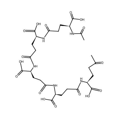 CC(=O)CC[C@H](NC(=O)CC[C@H](NC(=O)CC[C@H](NC(=O)CC[C@H](NC(=O)CC[C@H](NC(C)=O)C(=O)O)C(=O)O)C(=O)O)C(=O)O)C(=O)O